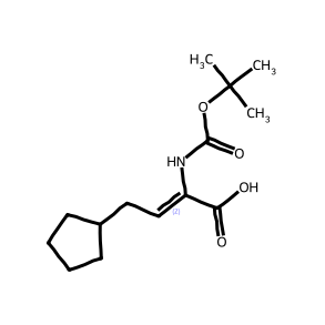 CC(C)(C)OC(=O)N/C(=C\CC1CCCC1)C(=O)O